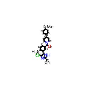 CNc1ccc(C2CCN(C(=O)c3ccc(C)c(-c4[nH]c(CC#N)nc4Cl)c3)CC2)cc1